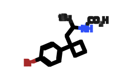 CC(C)(C)C(CC1(c2ccc(Br)cc2)CCC1)NC(=O)O